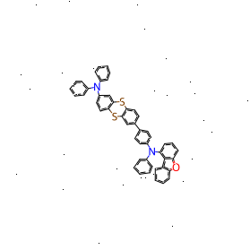 c1ccc(N(c2ccccc2)c2ccc3c(c2)Sc2ccc(-c4ccc(N(c5ccccc5)c5cccc6oc7ccccc7c56)cc4)cc2S3)cc1